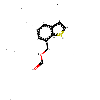 O=[C]OCc1cccc2ccsc12